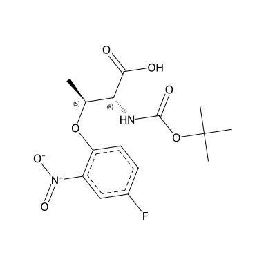 C[C@H](Oc1ccc(F)cc1[N+](=O)[O-])[C@@H](NC(=O)OC(C)(C)C)C(=O)O